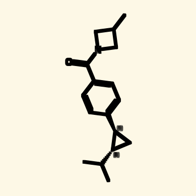 CC1CN(C(=O)c2ccc([C@H]3C[C@@H]3C(C)C)cc2)C1